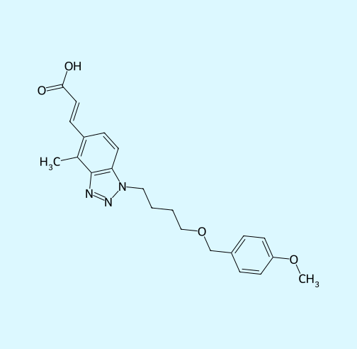 COc1ccc(COCCCCn2nnc3c(C)c(C=CC(=O)O)ccc32)cc1